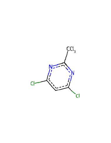 Clc1cc(Cl)nc(C(Cl)(Cl)Cl)n1